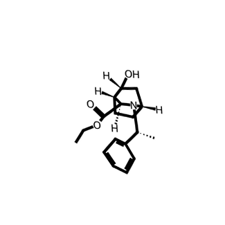 CCOC(=O)[C@H]1[C@@H]2CC[C@@H](C[C@H]2O)N1[C@H](C)c1ccccc1